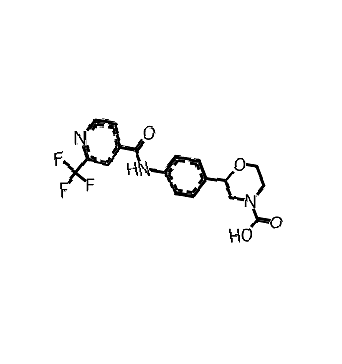 O=C(Nc1ccc(C2CN(C(=O)O)CCO2)cc1)c1ccnc(C(F)(F)F)c1